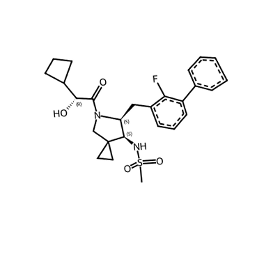 CS(=O)(=O)N[C@@H]1[C@H](Cc2cccc(-c3ccccc3)c2F)N(C(=O)[C@H](O)C2CCC2)CC12CC2